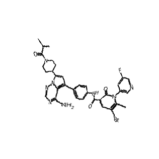 Cc1c(Br)cc(C(=O)Nc2ccc(-c3cc(C4CCN(C(=O)C(C)C)CC4)n4ncnc(N)c34)cc2)c(=O)n1-c1cncc(F)c1